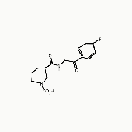 O=C(CNC(=O)C1CCCN(C(=O)O)C1)c1ccc(F)cc1